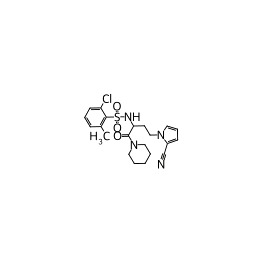 Cc1cccc(Cl)c1S(=O)(=O)NC(CCn1cccc1C#N)C(=O)N1CCCCC1